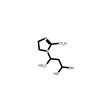 O=C(O)C1=NCCN1C(CC(O)O)C(=O)O